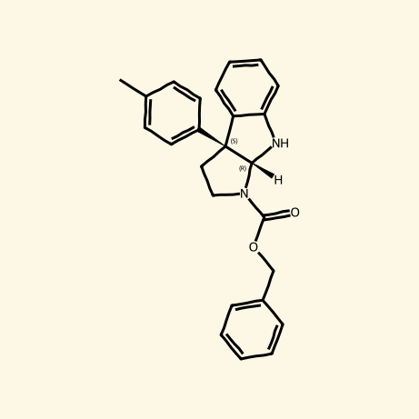 Cc1ccc([C@]23CCN(C(=O)OCc4ccccc4)[C@H]2Nc2ccccc23)cc1